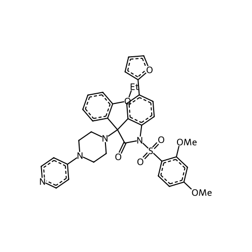 CCOc1ccccc1C1(N2CCN(c3ccncc3)CC2)C(=O)N(S(=O)(=O)c2ccc(OC)cc2OC)c2ccc(-c3ccco3)cc21